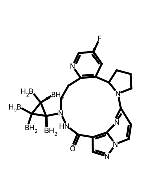 BC1(B)C(B)(B)C1(B)N1CCc2ncc(F)cc2C2CCCN2c2ccn3ncc(c3n2)C(=O)N1